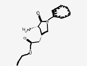 CCOC(=O)C[C@H]1CN(c2ccccc2)C(=O)[C@H]1N